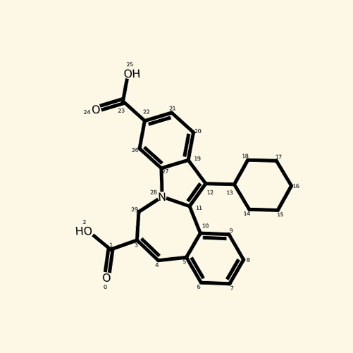 O=C(O)C1=Cc2ccccc2-c2c(C3CCCCC3)c3ccc(C(=O)O)cc3n2C1